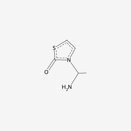 CC(N)n1ccsc1=O